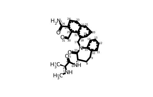 CN[C@@H](C)C(=O)N[C@H]1CCc2ccccc2N(Cc2cccc3ccc(C(N)=O)c(C=O)c23)C1=O